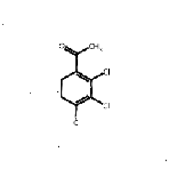 CC(=O)C1=C(Cl)C(Cl)=C(Cl)CC1